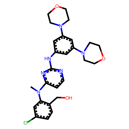 CN(c1ccnc(Nc2cc(N3CCOCC3)cc(N3CCOCC3)c2)n1)c1cc(Cl)ccc1CO